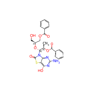 C[C@@H](OC(=O)c1ccccc1)[C@@H](O[C@@H](CO)COC(=O)c1ccccc1)n1c(=O)sc2c(O)nc(N)nc21